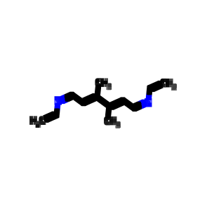 C=C\N=C/C=C(C)/C(C)=C/C=N\C=C